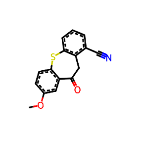 COc1ccc2c(c1)C(=O)Cc1c(C#N)cccc1S2